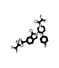 O=C(C(F)F)N1CC[C@@H](c2ccc(F)cc2)[C@H](N2Cc3ccc(-c4nnc(C(F)F)o4)cc3C2=O)C1